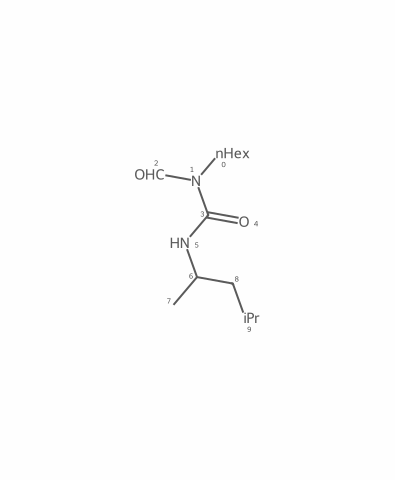 CCCCCCN(C=O)C(=O)NC(C)CC(C)C